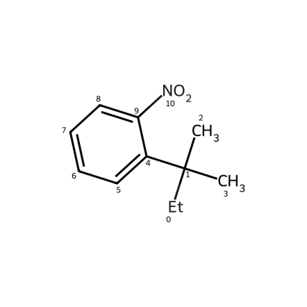 CCC(C)(C)c1ccccc1[N+](=O)[O-]